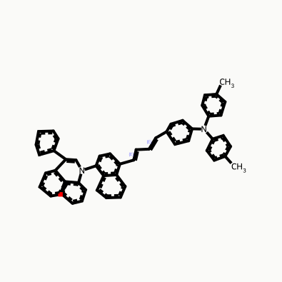 Cc1ccc(N(c2ccc(C)cc2)c2ccc(/C=C/C=C/c3ccc(N(C=C(c4ccccc4)c4ccccc4)c4ccccc4)c4ccccc34)cc2)cc1